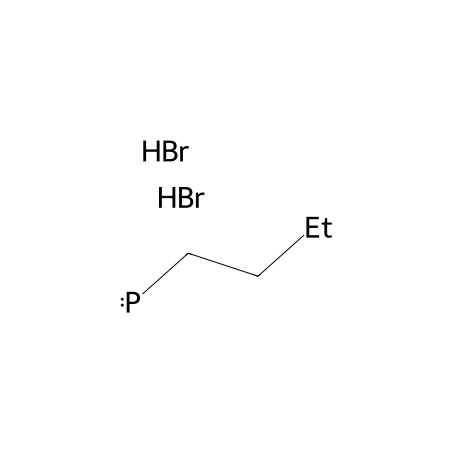 Br.Br.CCCC[P]